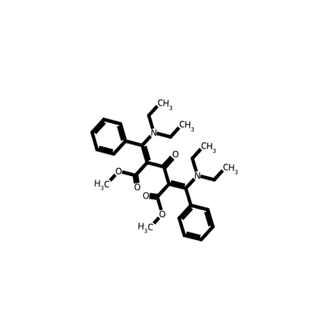 CCN(CC)C(=C(C(=O)OC)C(=O)C(C(=O)OC)=C(c1ccccc1)N(CC)CC)c1ccccc1